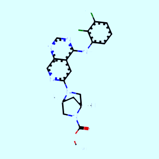 CC(C)(C)OC(=O)N1C[C@@H]2C[C@H]1CN2c1cc2c(Nc3cccc(Cl)c3F)ncnc2cn1